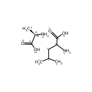 CC(C)CC(N)C(=O)O.C[C@@H](N)C(=O)O